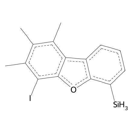 Cc1c(C)c(C)c2c(oc3c([SiH3])cccc32)c1I